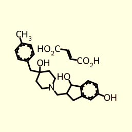 Cc1ccc(CC2(O)CCN(CC3Cc4cc(O)ccc4C3O)CC2)cc1.O=C(O)C=CC(=O)O